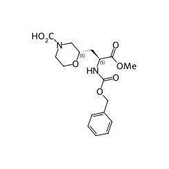 COC(=O)[C@H](C[C@H]1CN(C(=O)O)CCO1)NC(=O)OCc1ccccc1